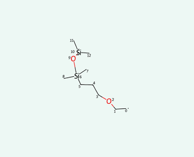 [CH2]COCCC[Si](C)(C)O[Si](C)C